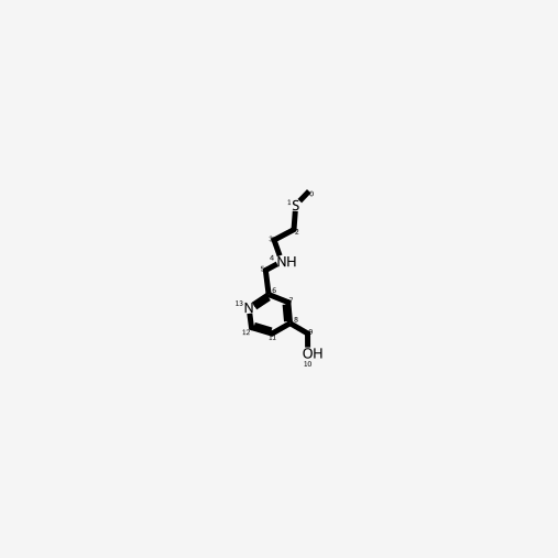 CSCCNCc1cc(CO)ccn1